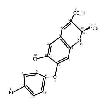 CCc1ccc(Oc2cc3c(cc2Cl)C=C(C(=O)O)[C@@H](C(F)(F)F)O3)cc1